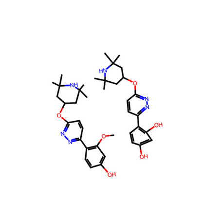 CC1(C)CC(Oc2ccc(-c3ccc(O)cc3O)nn2)CC(C)(C)N1.COc1cc(O)ccc1-c1ccc(OC2CC(C)(C)NC(C)(C)C2)nn1